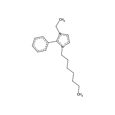 CCCCCCC[n+]1ccn(CC)c1-c1ccccc1